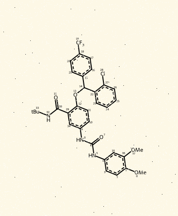 COc1ccc(NC(=O)Nc2ccc(OC(c3ccc(C(F)(F)F)cc3)c3ccccc3Cl)c(C(=O)NC(C)(C)C)c2)cc1OC